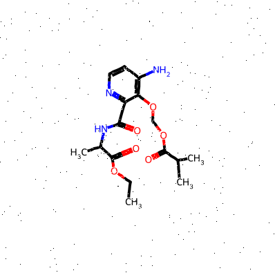 CCOC(=O)C(C)NC(=O)c1nccc(N)c1OCOC(=O)C(C)C